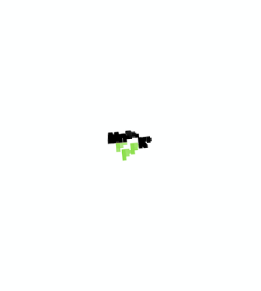 [F-].[F-].[F-].[K+].[Mn+2]